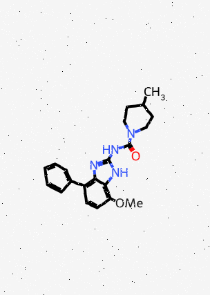 COc1ccc(-c2ccccc2)c2nc(NC(=O)N3CCC(C)CC3)[nH]c12